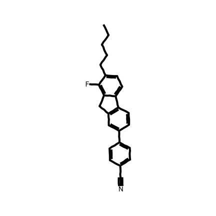 CCCCCc1ccc2c(c1F)Cc1cc(-c3ccc(C#N)cc3)ccc1-2